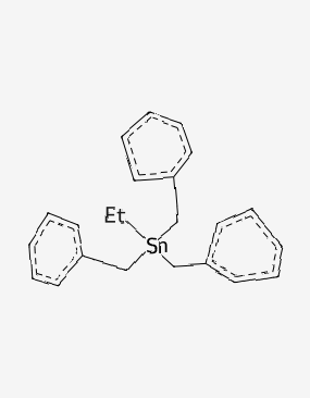 C[CH2][Sn]([CH2]c1ccccc1)([CH2]c1ccccc1)[CH2]c1ccccc1